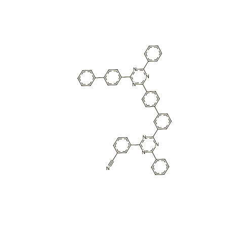 N#Cc1cccc(-c2nc(-c3ccccc3)nc(-c3cccc(-c4ccc(-c5nc(-c6ccccc6)nc(-c6ccc(-c7ccccc7)cc6)n5)cc4)c3)n2)c1